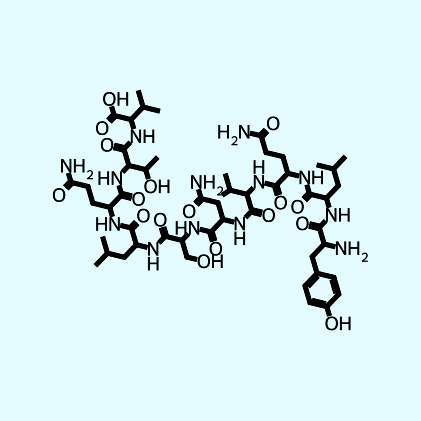 CC(C)CC(NC(=O)C(N)Cc1ccc(O)cc1)C(=O)NC(CCC(N)=O)C(=O)NC(C(=O)NC(CC(N)=O)C(=O)NC(CO)C(=O)NC(CC(C)C)C(=O)NC(CCC(N)=O)C(=O)NC(C(=O)NC(C(=O)O)C(C)C)C(C)O)C(C)C